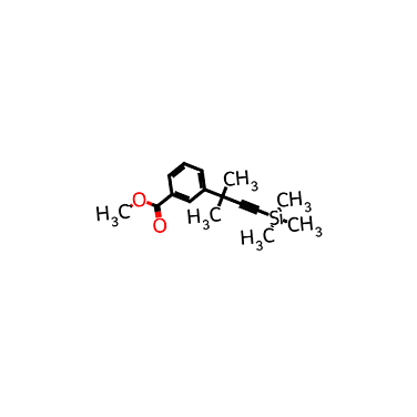 COC(=O)c1cccc(C(C)(C)C#C[Si](C)(C)C)c1